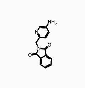 Nc1ccc(CN2C(=O)c3ccccc3C2=O)nc1